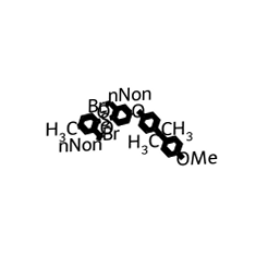 CCCCCCCCCC(Br)c1cc(C)ccc1S(=O)(=O)c1ccc(Oc2ccc(C(C)(C)c3ccc(OC)cc3)cc2)cc1C(Br)CCCCCCCCC